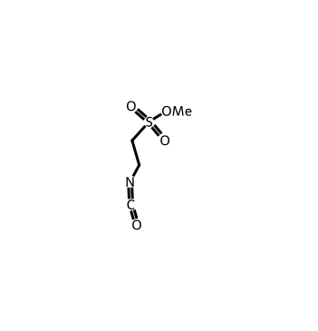 COS(=O)(=O)CCN=C=O